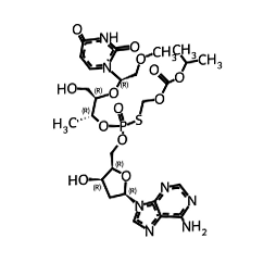 COC[C@@H](O[C@H](CO)[C@@H](C)OP(=O)(OC[C@H]1O[C@@H](n2cnc3c(N)ncnc32)C[C@H]1O)SCOC(=O)OC(C)C)n1ccc(=O)[nH]c1=O